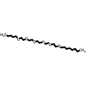 CCCCCCCCOCCOCCOCCOCCOCCOCCCCC